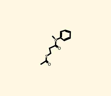 CC(=O)SCCC(=O)N(C)c1ccccc1